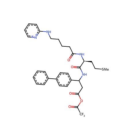 CSCC[C@H](NC(=O)CCCCNc1ccccn1)C(=O)NC(CC(=O)OC(=O)C(F)(F)F)c1ccc(-c2ccccc2)cc1